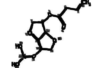 CCCC(=O)OC1COC2C(ON(O)O)COC12